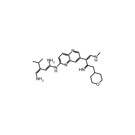 CN/C=C(\C(=N)CC1CCOCC1)c1cnc2ccc(N/C(N)=C/C(=C\N)C(C)C)nc2c1